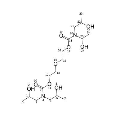 CC(O)CN(CC(C)O)C(=O)OCCOCCOC(=O)N(CC(C)O)C(C)O